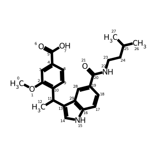 COc1cc(C(=O)O)ccc1C(C)c1c[nH]c2ccc(C(=O)NCCC(C)C)cc12